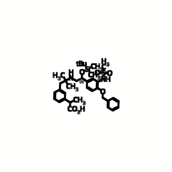 CC(C(=O)O)c1cccc(CC(C)(C)NC[C@@H](O[Si](C)(C)C(C)(C)C)c2ccc(OCc3ccccc3)c(NS(C)(=O)=O)c2)c1